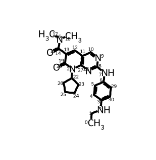 CCNc1ccc(Nc2ncc3cc(C(=O)N(C)C)c(=O)n(C4CCCC4)c3n2)cc1